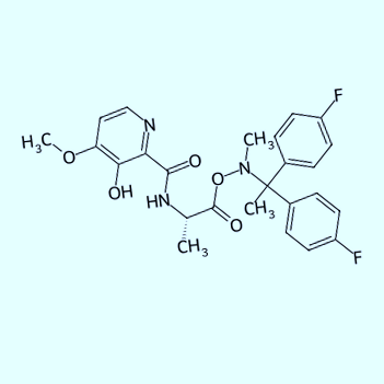 COc1ccnc(C(=O)N[C@@H](C)C(=O)ON(C)C(C)(c2ccc(F)cc2)c2ccc(F)cc2)c1O